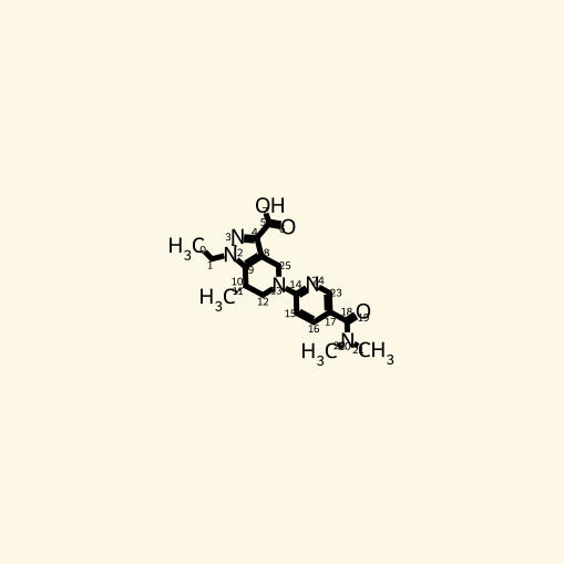 CCn1nc(C(=O)O)c2c1[C@@H](C)CN(c1ccc(C(=O)N(C)C)cn1)C2